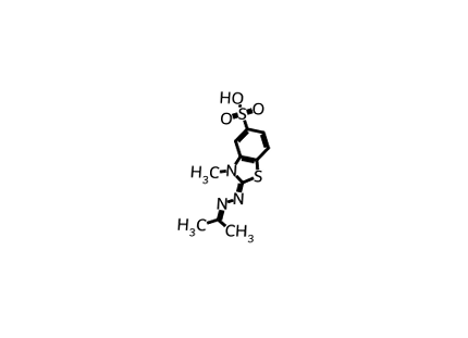 CC(C)=NN=c1sc2ccc(S(=O)(=O)O)cc2n1C